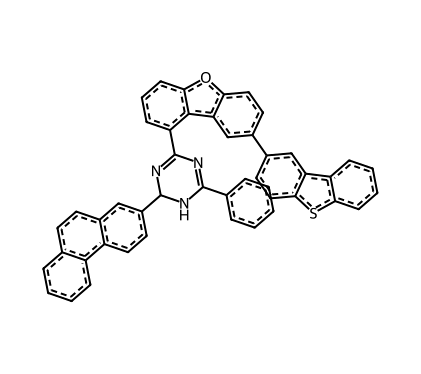 c1ccc(C2=NC(c3cccc4oc5ccc(-c6ccc7sc8ccccc8c7c6)cc5c34)=NC(c3ccc4c(ccc5ccccc54)c3)N2)cc1